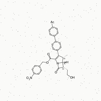 CC(=O)c1ccc(-c2ccc(C3=C(C(=O)OCc4ccc([N+](=O)[O-])cc4)N4C(=O)[C@@H](CCO)[C@H]4[C@H]3C)cc2)cc1